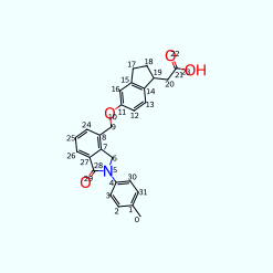 Cc1ccc(N2Cc3c(COc4ccc5c(c4)CCC5CC(=O)O)cccc3C2=O)cc1